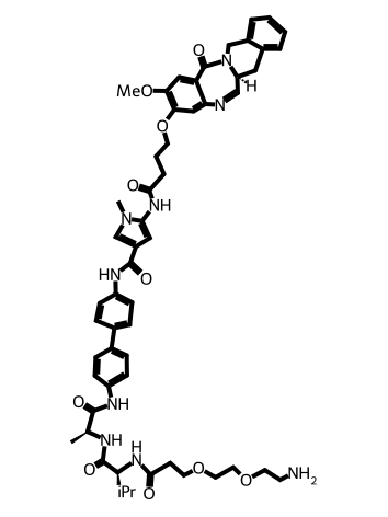 COc1cc2c(cc1OCCCC(=O)Nc1cc(C(=O)Nc3ccc(-c4ccc(NC(=O)[C@H](C)NC(=O)[C@@H](NC(=O)CCOCCOCCN)C(C)C)cc4)cc3)cn1C)N=C[C@@H]1Cc3ccccc3CN1C2=O